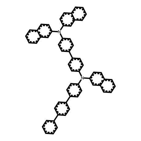 c1ccc(-c2ccc(-c3ccc(N(c4ccc(-c5ccc(N(c6ccc7ccccc7c6)c6ccc7ccccc7c6)cc5)cc4)c4ccc5ccccc5c4)cc3)cc2)cc1